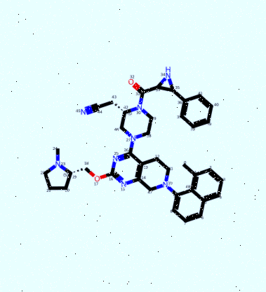 Cc1cccc2cccc(N3CCc4c(nc(OC[C@@H]5CCCN5C)nc4N4CCN(C(=O)C5NC5c5ccccc5)[C@@H](CC#N)C4)C3)c12